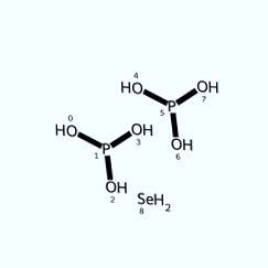 OP(O)O.OP(O)O.[SeH2]